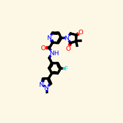 Cn1cc(-c2cc(F)cc(CNC(=O)c3cc(N4CC(=O)C(C)(C)C4=O)ccn3)c2)cn1